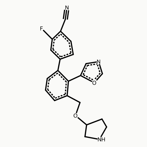 N#Cc1ccc(-c2cccc(COC3CCNC3)c2-c2cnco2)cc1F